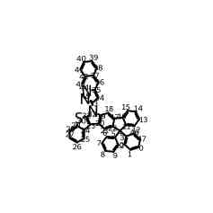 c1ccc(C2(c3ccccc3)c3ccccc3-c3cc4c(cc32)c2c3ccccc3sc2n4-c2cc3cc4ccccc4cn3n2)cc1